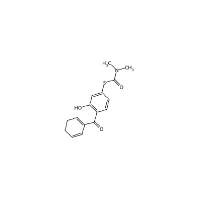 CN(C)C(=O)Sc1ccc(C(=O)C2=CCCC=C2)c(O)c1